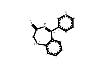 O=C1CNc2ccccc2C(c2cccnc2)=N1